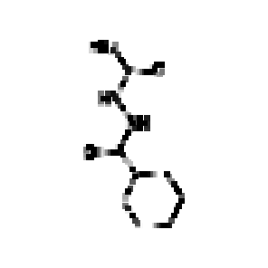 CCCCC(=O)NNC(=O)C1CCCCC1